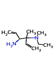 C=C[C@H](N)C(C)(C=C)N(C)CC